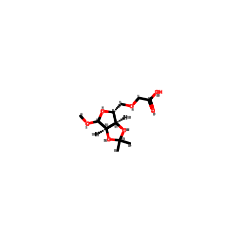 COC1O[C@H](COCC(=O)O)[C@H]2OC(C)(C)O[C@@H]12